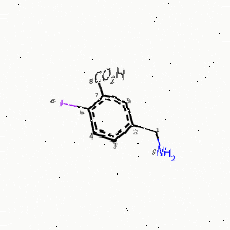 NCc1ccc(I)c(C(=O)O)c1